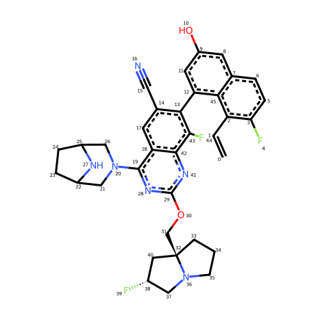 C=Cc1c(F)ccc2cc(O)cc(-c3c(C#N)cc4c(N5CC6CCC(C5)N6)nc(OC[C@@]56CCCN5C[C@H](F)C6)nc4c3F)c12